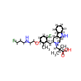 Cc1c(OCCNCCCF)ccc(F)c1C[C@H]1Cc2c([nH]c3ccccc23)CN1CC(C)(C)C(=O)O